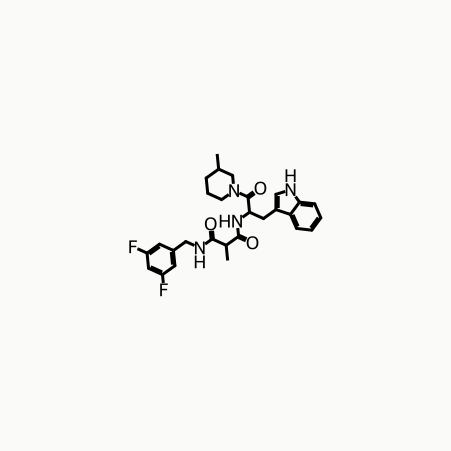 CC1CCCN(C(=O)C(Cc2c[nH]c3ccccc23)NC(=O)C(C)C(=O)NCc2cc(F)cc(F)c2)C1